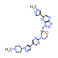 CN1CCC(n2cc(-c3cnc(N4CCO[C@H](Cn5nnc6ncc(-c7cnn(C)c7)nc65)C4)nc3)cn2)CC1